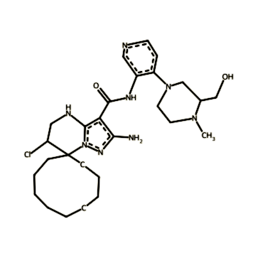 CN1CCN(c2ccncc2NC(=O)c2c(N)nn3c2NCC(Cl)C32CCCCCCCCC2)CC1CO